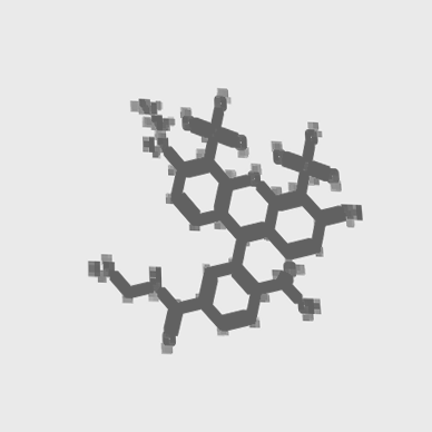 N=c1ccc2c(-c3cc(C(=O)NCN)ccc3C(=O)O)c3ccc(N)c(S(=O)(=O)[O-])c3oc-2c1S(=O)(=O)[O-].[Na+].[Na+]